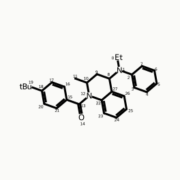 CCN(c1ccccc1)C1CC(C)N(C(=O)c2ccc(C(C)(C)C)cc2)c2ccccc21